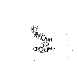 COC(=O)/C(=C\c1c[nH]c2ncc(-c3cnn(C4CCCNC4)c3)cc12)c1cc(Cl)ccc1Cl